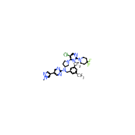 Cn1cc(-c2cnc(N(Cc3cc(C(F)(F)F)cc(C(F)(F)F)c3)[C@H]3CCN(c4nc(N5CCC(F)(F)CC5)ncc4Cl)C3)nc2)cn1